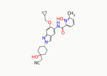 Cc1cccc(C(=O)Nc2cc3cn([C@H]4CC[C@@](O)(CC#N)CC4)nc3cc2OCC2CC2)[n+]1O